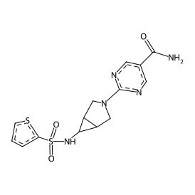 NC(=O)c1cnc(N2CC3C(C2)C3NS(=O)(=O)c2cccs2)nc1